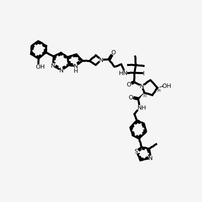 Cc1ncsc1-c1ccc(CNC(=O)[C@@H]2C[C@@H](O)CN2C(=O)C(I)(NCCC(=O)N2CC(c3cc4cc(-c5ccccc5O)nnc4[nH]3)C2)C(C)(C)C)cc1